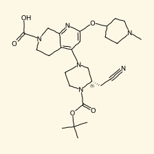 CN1CCC(Oc2cc(N3CCN(C(=O)OC(C)(C)C)[C@@H](CC#N)C3)c3c(n2)CN(C(=O)O)CC3)CC1